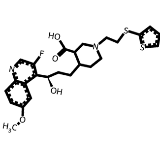 COc1ccc2ncc(F)c([C@H](O)CCC3CCN(CCSc4cccs4)CC3C(=O)O)c2c1